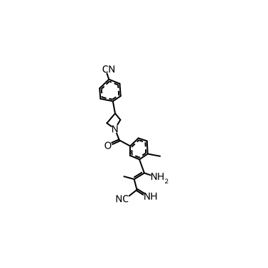 C/C(C(=N)C#N)=C(/N)c1cc(C(=O)N2CC(c3ccc(C#N)cc3)C2)ccc1C